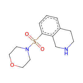 O=S(=O)(c1cccc2c1CNCC2)N1CCOCC1